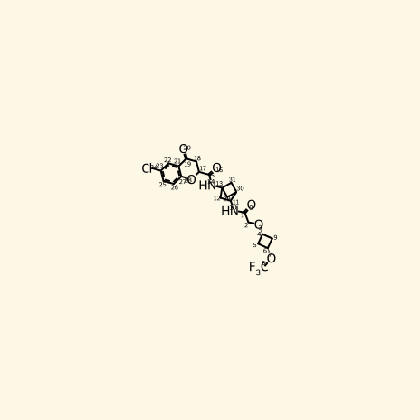 O=C(CO[C@H]1C[C@@H](OC(F)(F)F)C1)NC1CC2(NC(=O)C3CC(=O)c4cc(Cl)ccc4O3)CC1C2